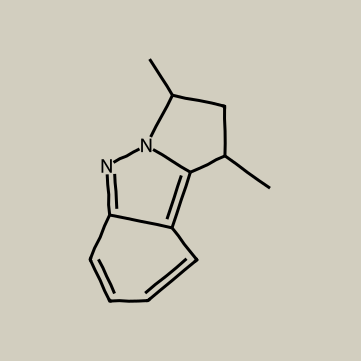 CC1CC(C)n2nc3ccccc3c21